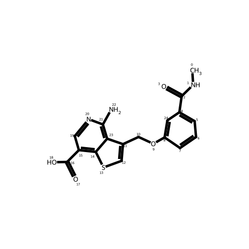 CNC(=O)c1cccc(OCc2csc3c(C(=O)O)cnc(N)c23)c1